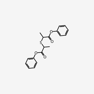 CC(SC(C)C(=O)Oc1ccccc1)C(=O)Oc1ccccc1